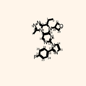 CCC1c2nnc(C)n2-c2cnc(-n3ccnc3-c3ccc(F)cc3)nc2N1C1COC1